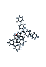 c1ccc(-c2ccc(N(c3ccc(-c4ccccc4)cc3)c3cccc4c3oc3cccc(C5(c6ccccc6)c6ccccc6-c6ccccc65)c34)cc2)cc1